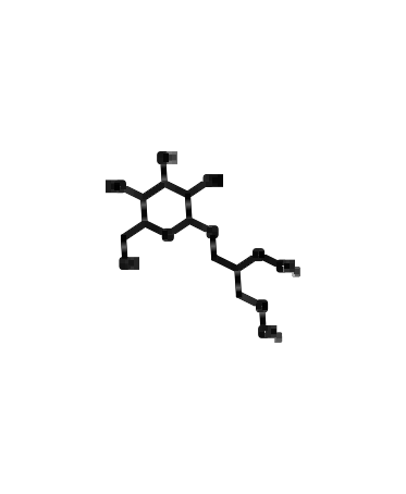 COCC(COC1OC(CO)C(O)C(O)C1O)OC